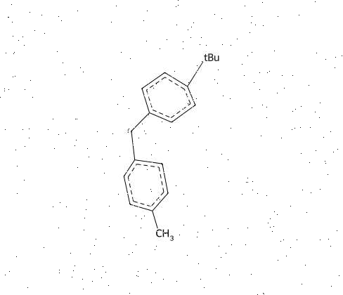 Cc1ccc([C]c2ccc(C(C)(C)C)cc2)cc1